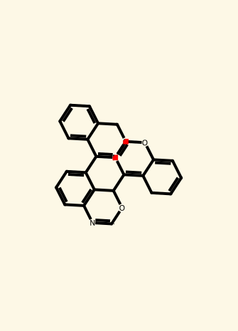 [C]1=Nc2cccc(C3=NOCc4ccccc43)c2C(C2=C3CC=CC=C3OC=N2)O1